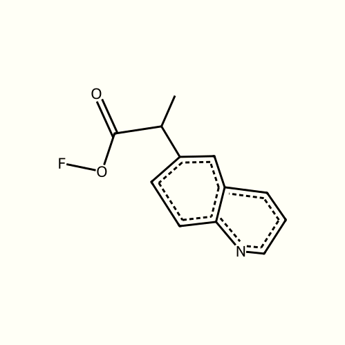 CC(C(=O)OF)c1ccc2ncccc2c1